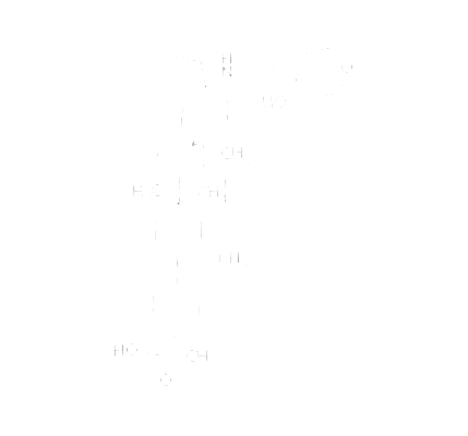 CC1C(C2=CCC(C)(C(=O)O)CC2)=CCC2(C)C1CCC1(C)C2CCC2C3CCCC3(NCCC3(O)CCOCC3)CC[C@]21C